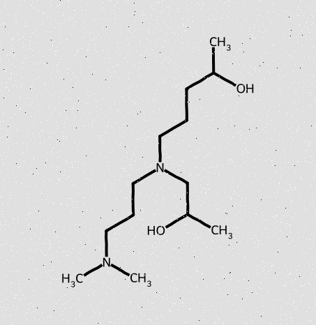 CC(O)CCCN(CCCN(C)C)CC(C)O